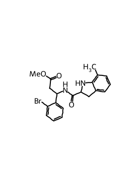 COC(=O)CC(NC(=O)C1Cc2cccc(C)c2N1)c1ccccc1Br